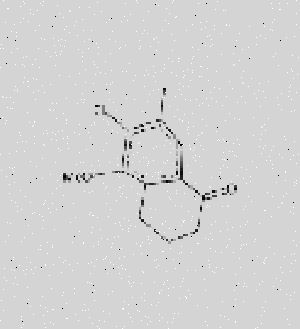 COc1c(Cl)c(C)nc2c1CCCC2=O